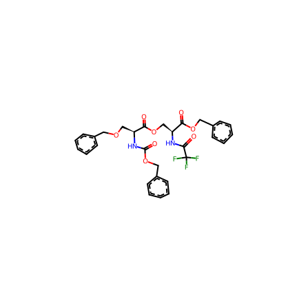 O=C(N[C@@H](COCc1ccccc1)C(=O)OC[C@H](NC(=O)C(F)(F)F)C(=O)OCc1ccccc1)OCc1ccccc1